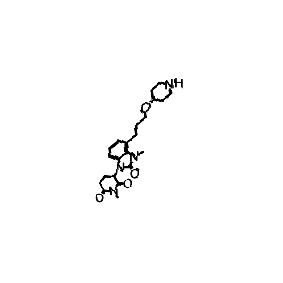 CN1C(=O)CCC(n2c(=O)n(C)c3c(CCCOC4CCNCC4)cccc32)C1=O